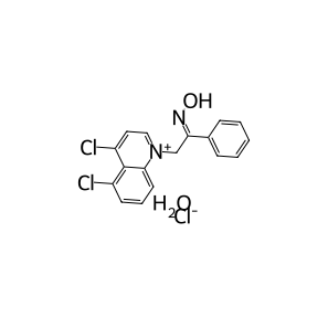 O.ON=C(C[n+]1ccc(Cl)c2c(Cl)cccc21)c1ccccc1.[Cl-]